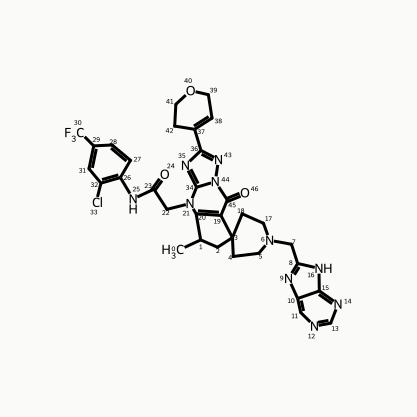 CC1CC2(CCN(Cc3nc4cncnc4[nH]3)CC2)c2c1n(CC(=O)Nc1ccc(C(F)(F)F)cc1Cl)c1nc(C3=CCOCC3)nn1c2=O